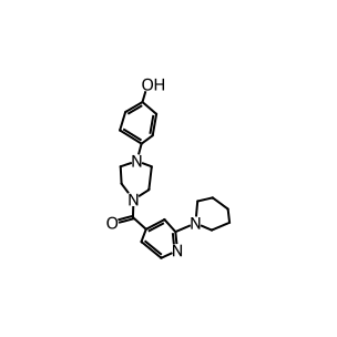 O=C(c1ccnc(N2CCCCC2)c1)N1CCN(c2ccc(O)cc2)CC1